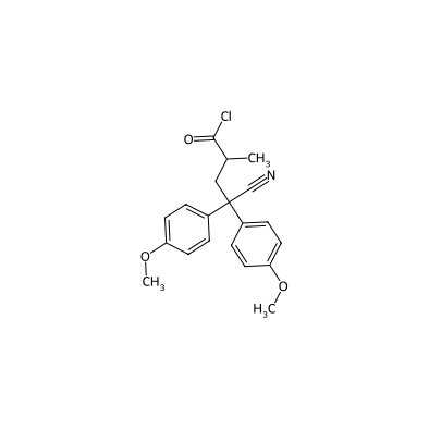 COc1ccc(C(C#N)(CC(C)C(=O)Cl)c2ccc(OC)cc2)cc1